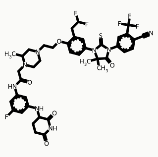 CC1CN(CCOc2ccc(N3C(=S)N(c4ccc(C#N)c(C(F)(F)F)c4)C(=O)C3(C)C)cc2CC(F)F)CCN1CC(=O)Nc1cc(F)cc(NC2CCC(=O)NC2=O)c1